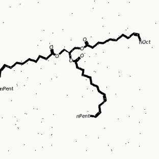 CCCCC/C=C\C/C=C\CCCCCCCC(=O)OC[C@@H](COC(=O)CCCCCCC/C=C\CCCCCCCC)OC(=O)CCCCCCC/C=C\C/C=C\CCCCC